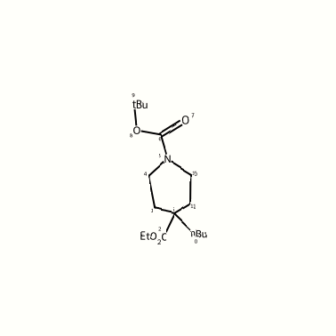 CCCCC1(C(=O)OCC)CCN(C(=O)OC(C)(C)C)CC1